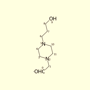 O=[C]CN1CCN(CCCO)CC1